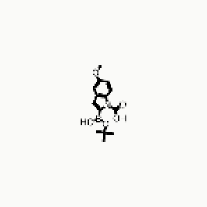 COc1ccc2c(c1)cc(B(O)OC(C)(C)C)n2C(=O)O